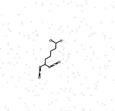 O=C=NC(CCCCC(Cl)Cl)N=C=O